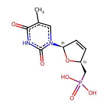 Cc1cn([C@H]2C=C[C@@H](CP(=O)(O)O)O2)c(=O)[nH]c1=O